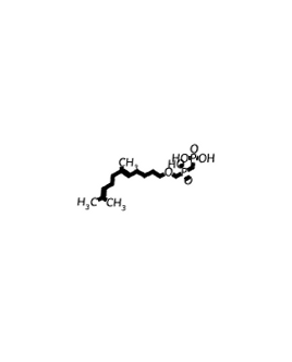 CC(C)=CCCC(C)=CCCCCOCP(=O)(O)CP(=O)(O)O